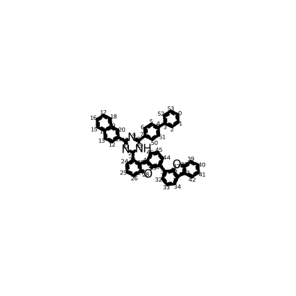 c1ccc(-c2ccc(C3=NC(c4ccc5ccccc5c4)=NC(c4cccc5oc6c(-c7cccc8c7oc7ccccc78)cccc6c45)N3)cc2)cc1